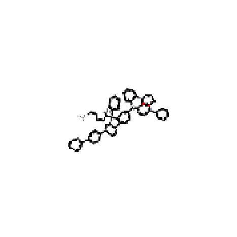 C=C(/C=C\C=C/C)[C@@]1(c2ccccc2)c2cc(-c3ccc(-c4ccccc4)cc3)ccc2-c2ccc(N(c3ccc(-c4ccccc4)cc3)c3ccccc3-c3ccccc3)cc21